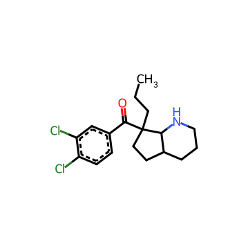 CCCC1(C(=O)c2ccc(Cl)c(Cl)c2)CCC2CCCNC21